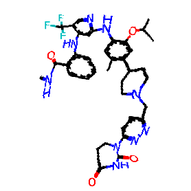 CNC(=O)c1ccccc1Nc1cc(Nc2cc(C)c(C3CCN(Cc4ccc(N5CCC(=O)NC5=O)nn4)CC3)cc2OC(C)C)ncc1C(F)(F)F